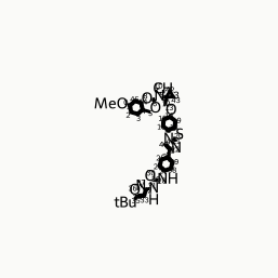 COc1ccc(COC(=O)N(C)C2(COc3ccc4c(c3)sc3nc(-c5ccc(NC(=O)Nc6cc(C(C)(C)C)on6)cc5)cn34)CC2)cc1